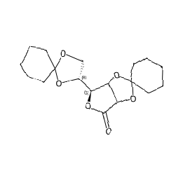 O=C1O[C@@H]([C@H]2COC3(CCCCC3)O2)C2OC3(CCCCC3)OC12